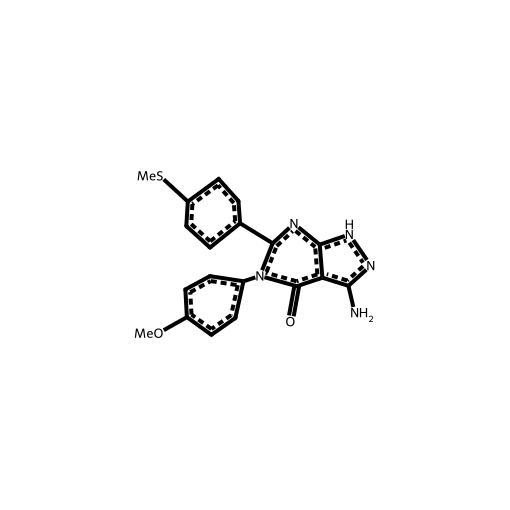 COc1ccc(-n2c(-c3ccc(SC)cc3)nc3[nH]nc(N)c3c2=O)cc1